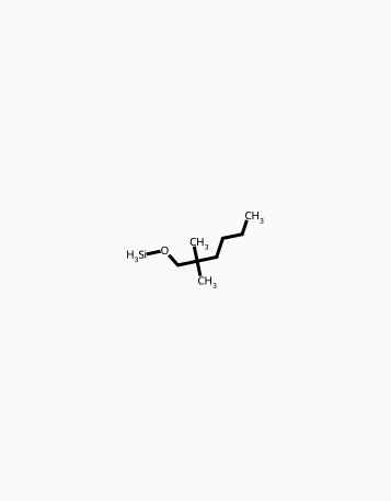 CCCCC(C)(C)CO[SiH3]